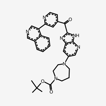 CC(C)(C)OC(=O)N1CCCN(c2cnc3[nH]c(C(=O)c4ccnc(-c5cncc6ccccc56)c4)nc3c2)CC1